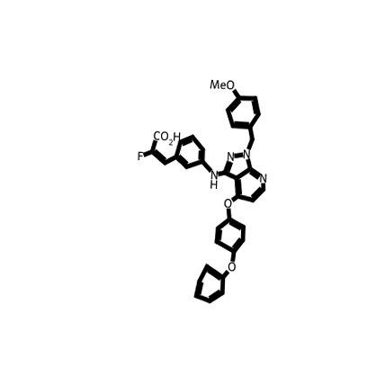 COc1ccc(Cn2nc(Nc3cccc(/C=C(/F)C(=O)O)c3)c3c(Oc4ccc(Oc5ccccc5)cc4)ccnc32)cc1